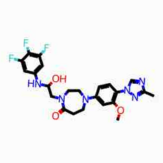 COc1cc(N2CCC(=O)N(CC(O)Nc3cc(F)c(F)c(F)c3)CC2)ccc1-n1cnc(C)n1